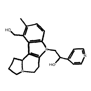 Cc1ccc2c(c1CO)c1c(n2CC(O)c2ccncc2)CCN2CCCC12